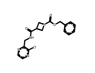 O=C(NCc1nccnc1Cl)C1CN(C(=O)OCc2ccccc2)C1